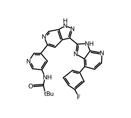 CC(C)(C)C(=O)Nc1cncc(-c2cc3c(-c4nc5c(-c6cccc(F)c6)ccnc5[nH]4)n[nH]c3cn2)c1